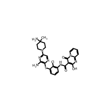 CC1(N)CCN(c2cnc(Sc3cccc(NC(=O)c4c(O)nc5ccccn5c4=O)c3Cl)c(N)n2)CC1